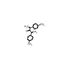 C=C(C(=O)C(=C)c1ccc(C)cc1)c1ccc(C)cc1